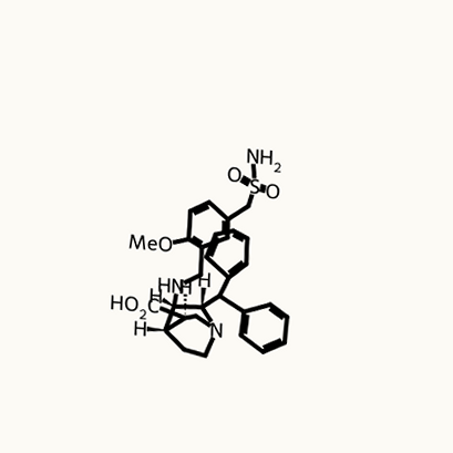 COc1ccc(CS(N)(=O)=O)cc1CN[C@H]1[C@H]2CCN(C[C@@H]2C(=O)O)[C@H]1C(c1ccccc1)c1ccccc1